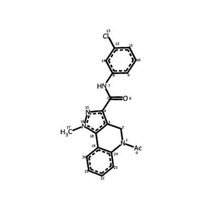 CC(=O)N1Cc2c(C(=O)Nc3cccc(Cl)c3)nn(C)c2-c2ccccc21